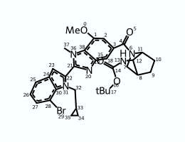 COc1cc(C(=O)N2CC3CCC2C3NC(=O)OC(C)(C)C)cc2nc(-c3cc4cccc(Br)c4n3CC3CC3)n(C)c12